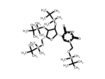 CC(C)(C)[Si](C)(C)OC[C@H]1O[C@@H](c2cn(CO[Si](C)(C)C(C)(C)C)c(=O)[nH]c2=O)C(O[Si](C)(C)C(C)(C)C)C1O[Si](C)(C)C(C)(C)C